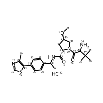 CO[C@@H]1C[C@@H](C(=O)NC(C)c2ccc(-c3scnc3C)cc2)N(C(=O)C(N)C(C)(C)C)C1.Cl